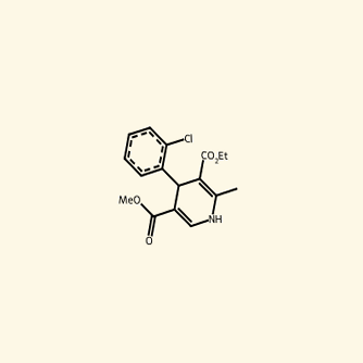 CCOC(=O)C1=C(C)NC=C(C(=O)OC)C1c1ccccc1Cl